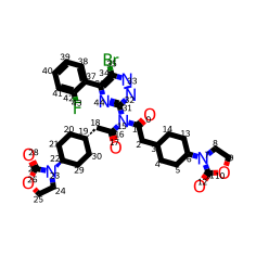 O=C(CC1CCC(N2CCOC2=O)CC1)N(C(=O)C[C@H]1CC[C@H](N2CCOC2=O)CC1)c1nnc(Br)c(-c2ccccc2F)n1